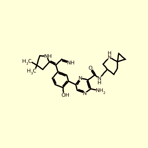 CC1(C)CN/C(=C(\C=N)c2ccc(O)c(-c3cnc(N)c(C(=O)NC4CCC5(CC5)NC4)n3)c2)C1